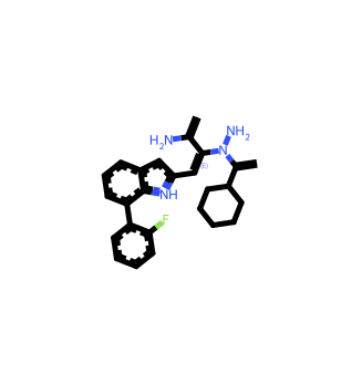 C=C(N)/C(=C\c1cc2cccc(-c3ccccc3F)c2[nH]1)N(N)C(=C)C1CCCCC1